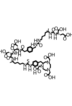 C[C@H](CCCCNC(=O)NCc1ccc(CC(=O)N[C@@H](CC(=O)O)C(=O)N[C@@H](CC(=O)O)C(=O)N[C@H](C)CCCCNC(=S)Nc2ccc(CC3CN(CC(=O)O)CCN(CC(=O)O)CCN3CC(=O)O)cc2)cc1)NC(=O)N[C@@H](CCC(=O)O)C(=O)O